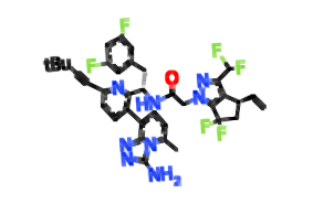 C=C[C@H]1CC(F)(F)c2c1c(C(F)F)nn2CC(=O)N[C@@H](Cc1cc(F)cc(F)c1)c1nc(C#CC(C)(C)C)ccc1-c1ccc(C)n2c(N)nnc12